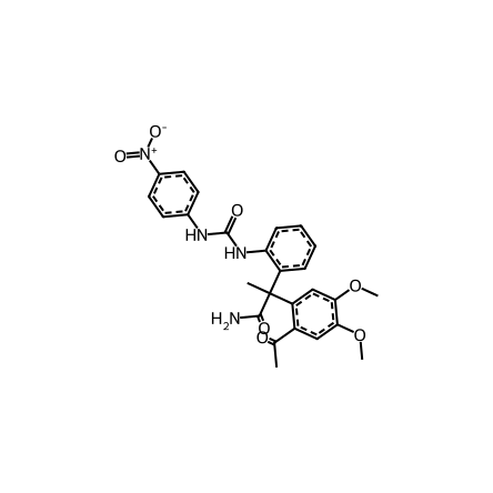 COc1cc(C(C)=O)c(C(C)(C(N)=O)c2ccccc2NC(=O)Nc2ccc([N+](=O)[O-])cc2)cc1OC